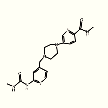 CNC(=O)Nc1cc(CN2CCN(c3ccc(C(=O)NC)nc3)CC2)ccn1